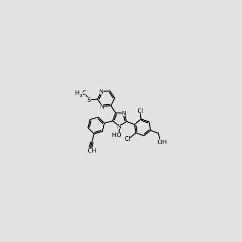 C#Cc1cccc(-c2c(-c3ccnc(SC)n3)nc(-c3c(Cl)cc(CO)cc3Cl)n2O)c1